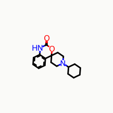 O=C1Nc2ccccc2C2(CCN(C3CCCCC3)CC2)O1